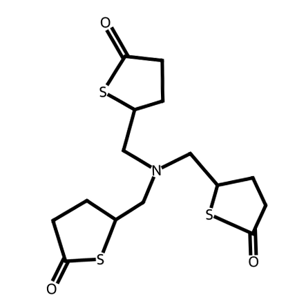 O=C1CCC(CN(CC2CCC(=O)S2)CC2CCC(=O)S2)S1